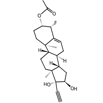 C#C[C@]1(O)[C@H](O)C[C@H]2[C@@H]3CC=C4[C@@H](F)[C@@H](OC(C)=O)CC[C@]4(C)[C@H]3CC[C@@]21C